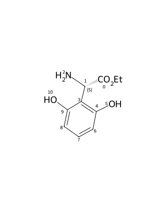 CCOC(=O)[C@@H](N)c1c(O)cccc1O